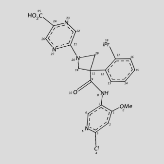 COc1cc(Cl)ncc1NC(=O)C1(c2ccccc2C(C)C)CN(c2cnc(C(=O)O)cn2)C1